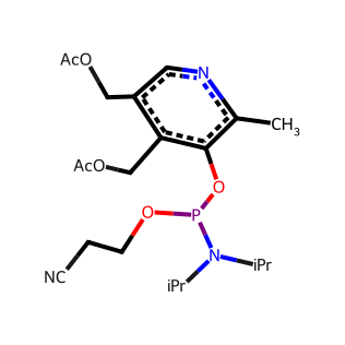 CC(=O)OCc1cnc(C)c(OP(OCCC#N)N(C(C)C)C(C)C)c1COC(C)=O